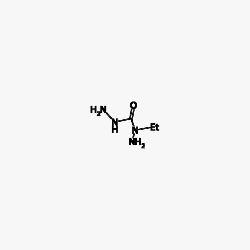 [CH2]CN(N)C(=O)NN